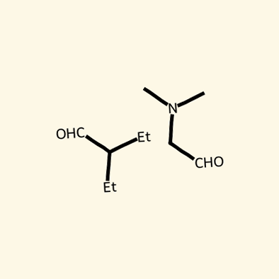 CCC(C=O)CC.CN(C)CC=O